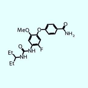 CCC(CC)NC(=O)Nc1cc(OC)c(Oc2ccc(C(N)=O)cc2)cc1F